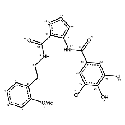 COc1ccccc1CCNC(=O)c1sccc1NC(=O)c1cc(Cl)c(O)c(Cl)c1